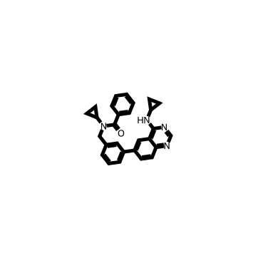 O=C(c1ccccc1)N(Cc1cccc(-c2ccc3ncnc(NC4CC4)c3c2)c1)C1CC1